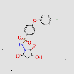 O=C1CC(O)C(=O)N1NS(=O)(=O)c1ccc(Oc2ccc(F)cc2)cc1